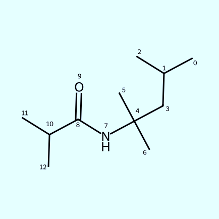 CC(C)CC(C)(C)NC(=O)C(C)C